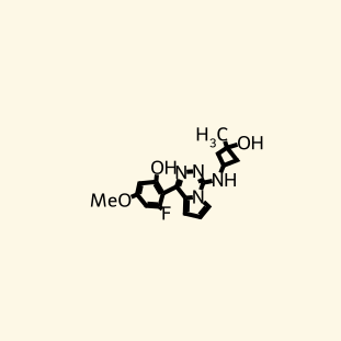 COc1cc(O)c(-c2nnc(NC3CC(C)(O)C3)n3cccc23)c(F)c1